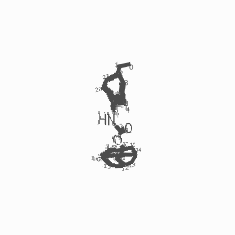 CCc1ccc(NC(=O)OC23CC4CC(CC(C4)C2)C3)cc1